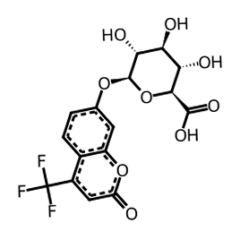 O=C(O)[C@H]1O[C@@H](Oc2ccc3c(C(F)(F)F)cc(=O)oc3c2)[C@H](O)[C@@H](O)[C@@H]1O